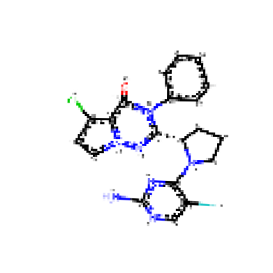 Nc1ncc(F)c(N2CCC[C@H]2c2nn3ccc(Cl)c3c(=O)n2-c2ccccc2)n1